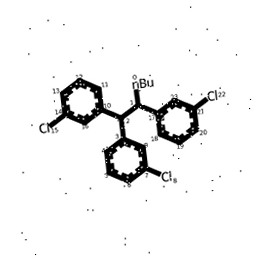 CCCCC([C](c1cccc(Cl)c1)c1cccc(Cl)c1)c1cccc(Cl)c1